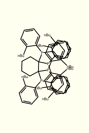 CCCCc1ccccc1P(c1ccccc1CCCC)C1(P(c2ccccc2CCCC)c2ccccc2CCCC)CCCCC1(P(c1ccccc1CCCC)c1ccccc1CCCC)P(c1ccccc1CCCC)c1ccccc1CCCC